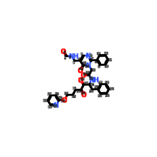 O=CNCc1cnc(-c2ccccc2)n(CC(=O)NC(Cc2ccccc2)C(=O)C(=O)CCCOc2ccccn2)c1=O